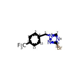 FC(F)(F)c1ccc(Cn2cnc(Br)n2)cc1